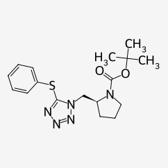 CC(C)(C)OC(=O)N1CCC[C@H]1Cn1nnnc1Sc1ccccc1